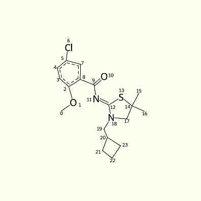 COc1ccc(Cl)cc1C(=O)N=C1SC(C)(C)CN1CC1CCC1